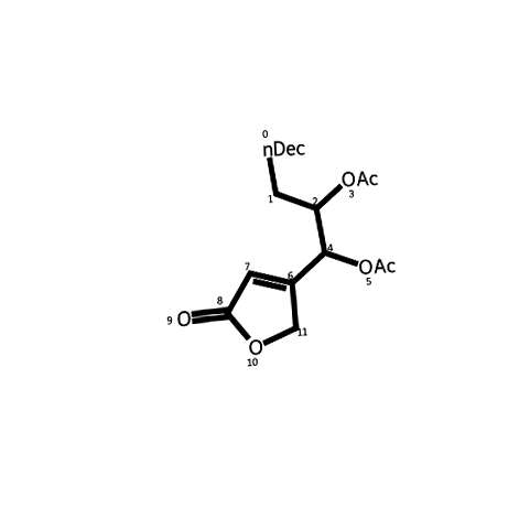 CCCCCCCCCCCC(OC(C)=O)C(OC(C)=O)C1=CC(=O)OC1